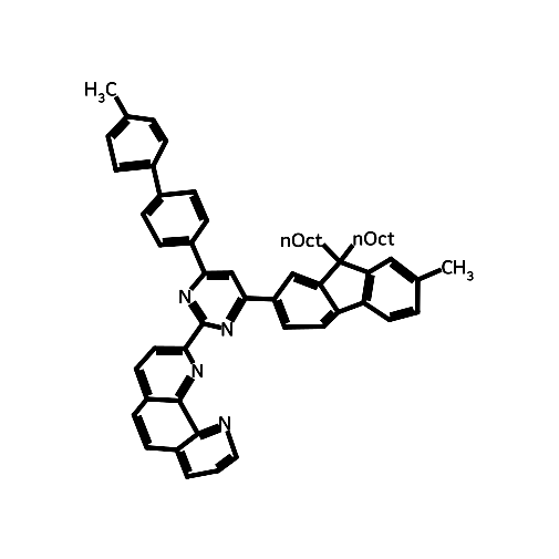 CCCCCCCCC1(CCCCCCCC)c2cc(C)ccc2-c2ccc(-c3cc(-c4ccc(-c5ccc(C)cc5)cc4)nc(-c4ccc5ccc6cccnc6c5n4)n3)cc21